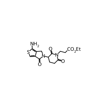 CCOC(=O)CCN1C(=O)CCC(N2Cc3c(csc3N)C2=O)C1=O